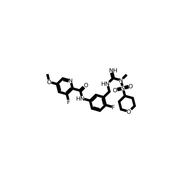 COc1cnc(C(=O)Nc2ccc(F)c(CNC(=N)N(C)S(=O)(=O)C3CCOCC3)c2)c(F)c1